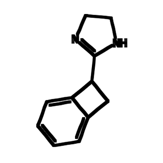 c1ccc2c(c1)CC2C1=NCCN1